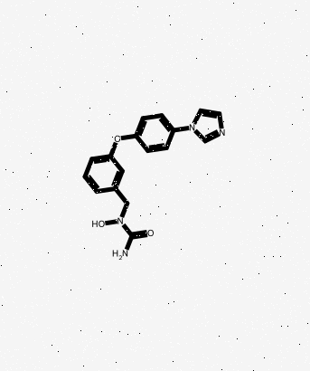 NC(=O)N(O)Cc1cccc(Oc2ccc(-n3ccnc3)cc2)c1